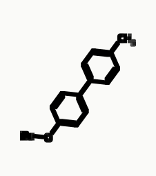 CCC(C)Oc1ccc(-c2ccc(C)cc2)cc1